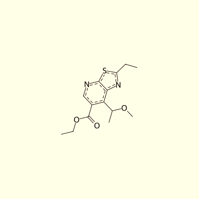 CCOC(=O)c1cnc2sc(CC)nc2c1C(C)OC